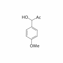 COc1ccc(C(O)C(C)=O)cc1